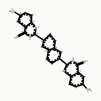 Cc1ccc2nc(-c3ccc4cc(-c5nc6ccc(C)cc6c(=O)o5)ccc4c3)oc(=O)c2c1